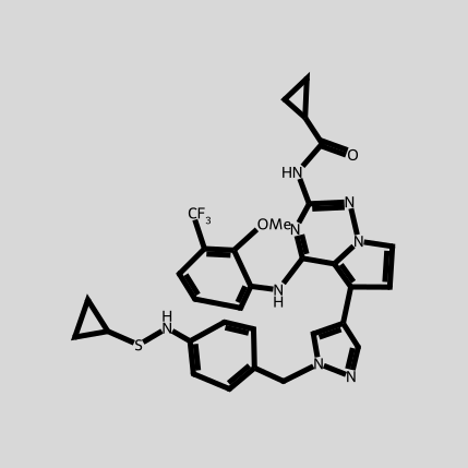 COc1c(Nc2nc(NC(=O)C3CC3)nn3ccc(-c4cnn(Cc5ccc(NSC6CC6)cc5)c4)c23)cccc1C(F)(F)F